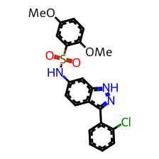 COc1ccc(OC)c(S(=O)(=O)Nc2ccc3c(-c4ccccc4Cl)n[nH]c3c2)c1